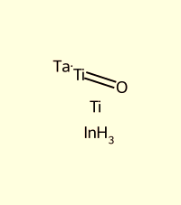 [InH3].[O]=[Ti].[Ta].[Ti]